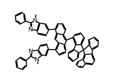 Cn1c(-c2ccccc2)nc2ccc(-c3cccc4c(-c5cccc6c5-c5ccccc5C65c6ccccc6-c6ccc7ccccc7c65)c5cccc(-c6ccc7nc(-c8ccccc8)n(C)c7c6)c5cc34)cc21